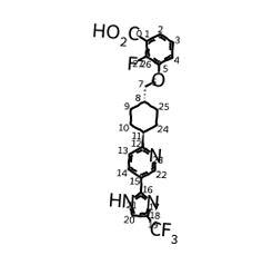 O=C(O)c1cccc(OC[C@H]2CC[C@H](c3ccc(-c4nc(C(F)(F)F)c[nH]4)cn3)CC2)c1F